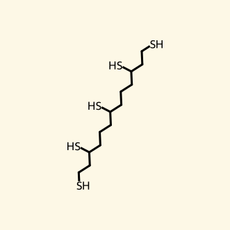 SCCC(S)CCCC(S)CCCC(S)CCS